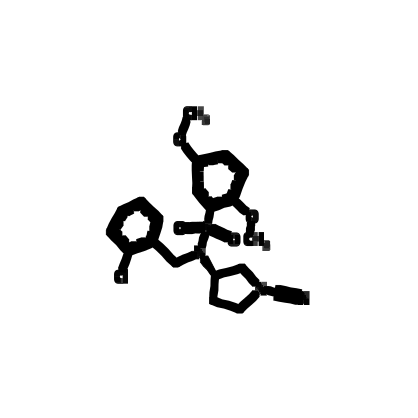 COc1ccc(OC)c(S(=O)(=O)N(Cc2ccccc2Cl)[C@@H]2CCN(C#N)C2)c1